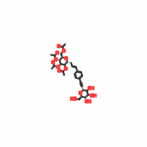 CC(=O)OC[C@H]1O[C@H](CC=Cc2ccc(C#C[C@H]3O[C@H](CO)[C@@H](O)[C@H](O)[C@@H]3O)cc2)[C@@H](OC(C)=O)[C@@H](OC(C)=O)[C@@H]1OC(C)=O